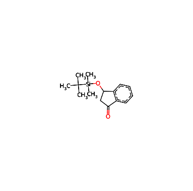 CC(C)(C)[Si](C)(C)OC1CC(=O)c2ccccc21